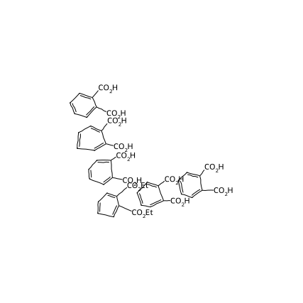 CCOC(=O)c1ccccc1C(=O)OCC.O=C(O)c1ccccc1C(=O)O.O=C(O)c1ccccc1C(=O)O.O=C(O)c1ccccc1C(=O)O.O=C(O)c1ccccc1C(=O)O.O=C(O)c1ccccc1C(=O)O